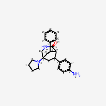 Nc1ccc(C2CC3(N4CCCC4)CNC(=O)C2C(c2ccccc2)C3)cc1